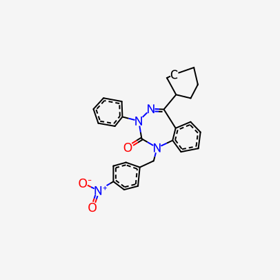 O=C1N(Cc2ccc([N+](=O)[O-])cc2)c2ccccc2C(C2CCCCC2)=NN1c1ccccc1